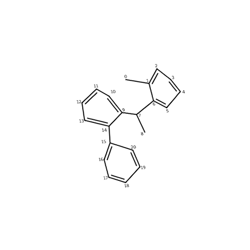 Cc1ccccc1C(C)c1ccccc1-c1ccccc1